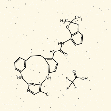 CC1(C)Cc2cccc(NC(=O)Nc3ccc4cc3CCc3cccc(c3)Nc3ncc(Cl)c(n3)N4)c2O1.O=C(O)C(F)(F)F